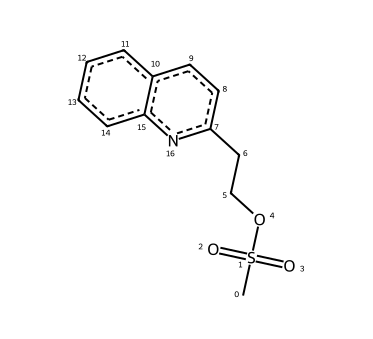 CS(=O)(=O)OCCc1ccc2ccccc2n1